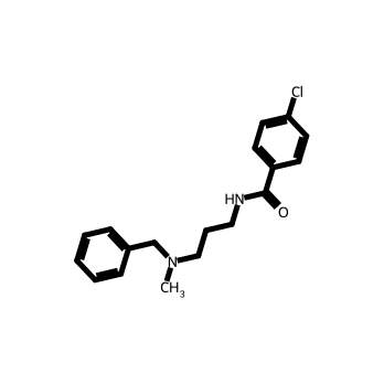 CN(CCCNC(=O)c1ccc(Cl)cc1)Cc1ccccc1